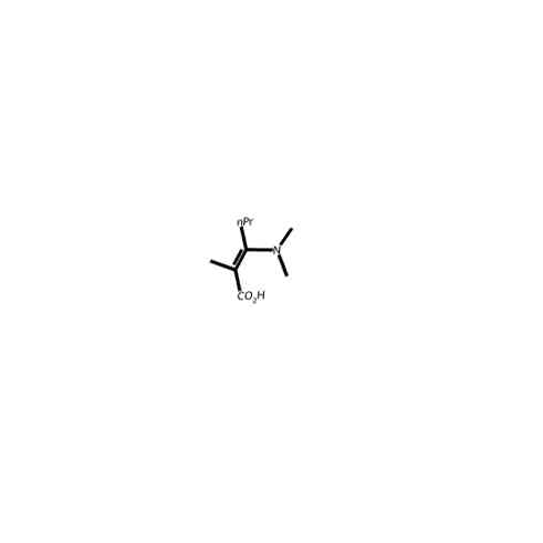 CCCC(=C(C)C(=O)O)N(C)C